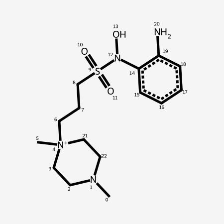 CN1CC[N+](C)(CCCS(=O)(=O)N(O)c2ccccc2N)CC1